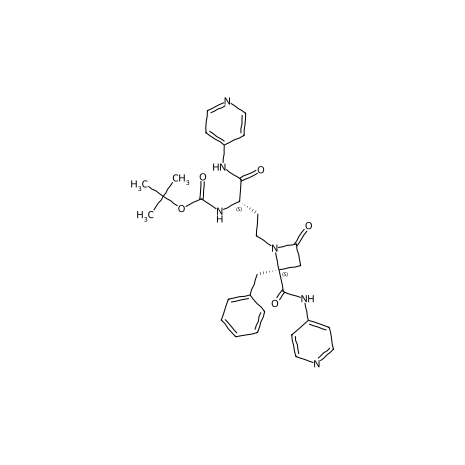 CC(C)(C)OC(=O)N[C@@H](CCN1C(=O)C[C@@]1(Cc1ccccc1)C(=O)Nc1ccncc1)C(=O)Nc1ccncc1